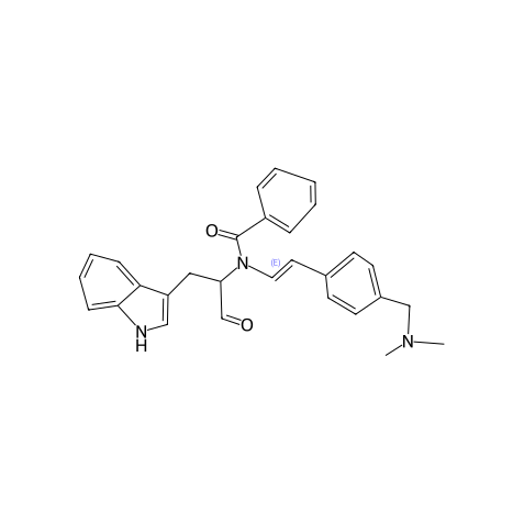 CN(C)Cc1ccc(/C=C/N(C(=O)c2ccccc2)C(C=O)Cc2c[nH]c3ccccc23)cc1